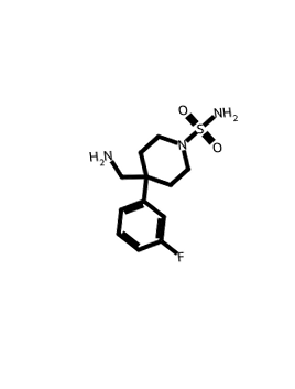 NCC1(c2cccc(F)c2)CCN(S(N)(=O)=O)CC1